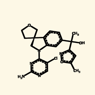 Cc1cc(C(C)(O)c2ccc3c(c2)N(c2nc(N)ncc2Cl)C[C@]32CCOC2)no1